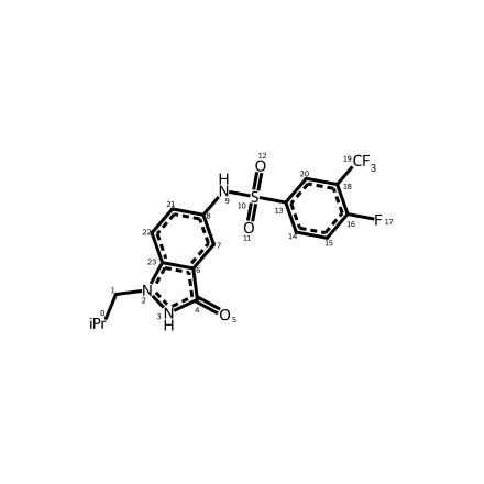 CC(C)Cn1[nH]c(=O)c2cc(NS(=O)(=O)c3ccc(F)c(C(F)(F)F)c3)ccc21